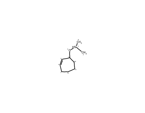 C[SiH](C)OC1C=CCCCC1